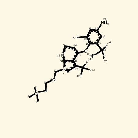 C[Si](C)(C)CCOCn1cc(C(F)(F)F)c2c(Oc3c(F)cc(N)cc3C(F)(F)F)ccnc21